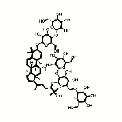 C[C@H](CC[C@@H](O[C@@H]1O[C@H](CO[C@@H]2O[C@H](CO)[C@@H](O)[C@H](O)[C@H]2O)[C@@H](O)[C@H](O)[C@H]1O[C@@H]1O[C@H](CO)[C@@H](O)[C@H](O)[C@H]1O)C(C)(C)O)[C@H]1CC[C@@]2(C)[C@@H]3CC=C4[C@@H](CC[C@H](O[C@@H]5O[C@H](CO)[C@@H](O[C@@H]6O[C@H](CO)[C@@H](O)[C@H](O)[C@H]6O)[C@H](O)[C@H]5O)C4(C)C)[C@]3(C)[C@H](O)C[C@]12C